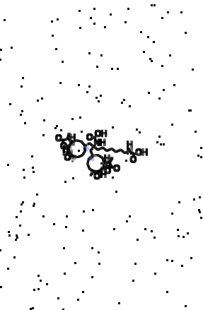 C=C1C(=O)O[C@H]2[C@H]1CC/C(CC(CCCCCCCNC(=O)O)(C/C1=C/CC[C@@]3(C)O[C@H]3[C@H]3OC(=O)C(=C)[C@@H]3CC1)NC(=O)O)=C\CC[C@@]1(C)O[C@@H]21